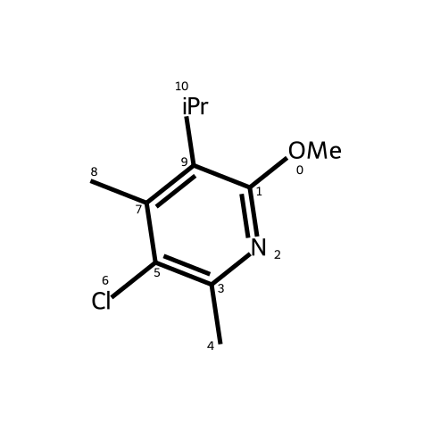 COc1nc(C)c(Cl)c(C)c1C(C)C